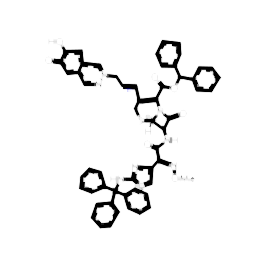 CON=C(C(=O)NC1C(=O)N2C(C(=O)OC(c3ccccc3)c3ccccc3)=C(/C=C/Cn3cc4cc(O)c(=O)cc-4cn3)CS[C@@H]12)c1csc(NC(c2ccccc2)(c2ccccc2)c2ccccc2)n1